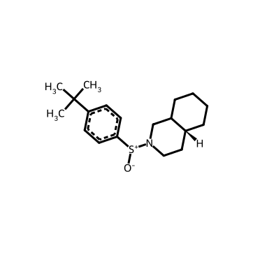 CC(C)(C)c1ccc([S+]([O-])N2CC[C@H]3CCCCC3C2)cc1